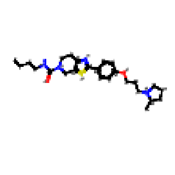 CCCCNC(=O)N1CCc2nc(-c3ccc(OCCCN4CCCC4C)cc3)sc2C1